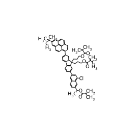 C=C(C)C(=O)OCCCC1(CCCOC(=O)C(=C)C)c2cc(-c3cc(Cl)c4cc(C(C)OC(=O)C(=C)C)ccc4c3)ccc2-c2ccc(-c3ccc4ccc5cc(C(C)(C)C)cc6ccc3c4c56)cc21